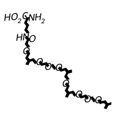 C=C(C)CCOCCOCCOCCC(=C)CCOCCC(=C)CCOCCOCCOCCC(=C)CCOCCC(=O)NCCCC[C@H](N)C(=O)O